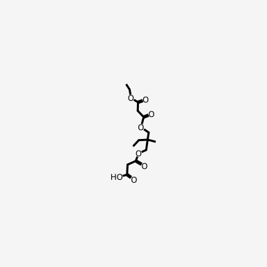 CCOC(=O)CC(=O)OCC(C)(CC)COC(=O)CC(=O)O